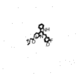 CCN(C)CC(=O)N1CCc2c(nc(Cc3ccc(OC)c(F)c3)c3[nH]c4ccccc4c23)C1